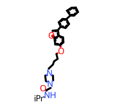 CC(C)NC(=O)CN1CCN(CCCCCOc2ccc3c(-c4ccc(-c5ccccc5)cc4)coc3c2)CC1